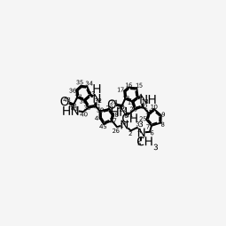 CN(CCN(C)Cc1cccc(-c2[nH]c3cccc4c3c2CNC4=O)c1)Cc1ccc(-c2[nH]c3cccc4c3c2CNC4=O)cc1